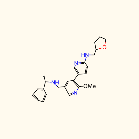 COc1ncc(CN[C@H](C)c2ccccc2)cc1-c1ccc(NCC2CCCO2)nc1